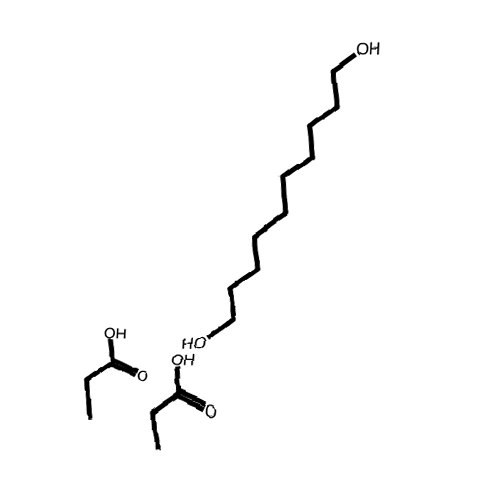 CCC(=O)O.CCC(=O)O.OCCCCCCCCCCO